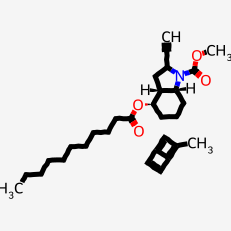 C#CC1C[C@H]2[C@@H](OC(=O)CCCCCCCCCC)CCC[C@H]2N1C(=O)OC.Cc1cc2ccc1-2